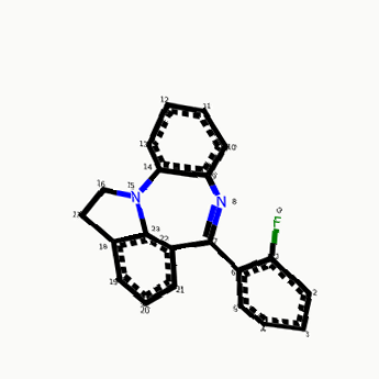 Fc1ccccc1C1=Nc2ccccc2N2CCc3cccc1c32